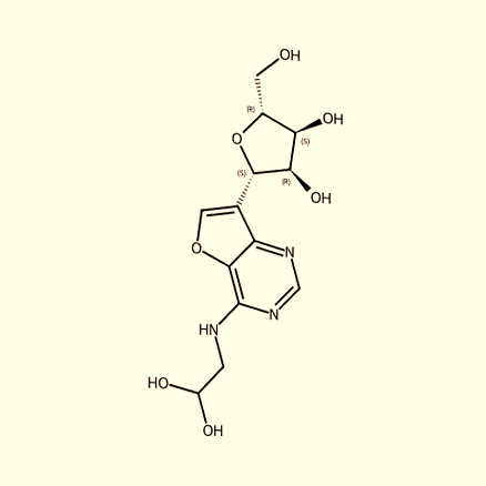 OC[C@H]1O[C@@H](c2coc3c(NCC(O)O)ncnc23)[C@H](O)[C@@H]1O